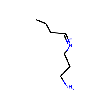 CCC/C=N\CCCN